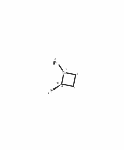 CC(C)N1CC[C@H]1F